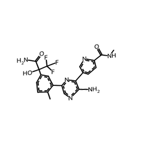 CNC(=O)c1ccc(-c2nc(-c3cc(C(O)(C(N)=O)C(F)(F)F)ccc3C)cnc2N)cn1